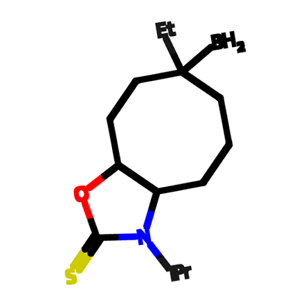 BC1(CC)CCCC2C(CC1)OC(=S)N2C(C)C